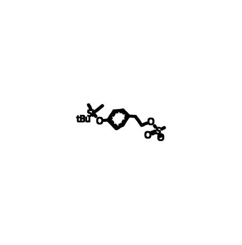 CC(C)(C)[Si](C)(C)Oc1ccc(CCOS(C)(=O)=O)cc1